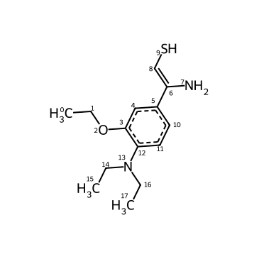 CCOc1cc(/C(N)=C/S)ccc1N(CC)CC